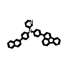 c1cncc(N(c2ccc(-c3ccc4ccccc4c3)cc2)c2ccc(-c3ccc4c5c(cccc35)-c3ccccc3-4)cc2)c1